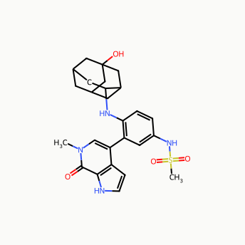 Cn1cc(-c2cc(NS(C)(=O)=O)ccc2NC2CC3CC4CC2CC(O)(C4)C3)c2cc[nH]c2c1=O